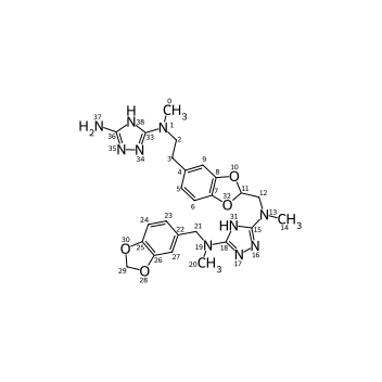 CN(CCc1ccc2c(c1)OC(CN(C)c1nnc(N(C)Cc3ccc4c(c3)OCO4)[nH]1)O2)c1nnc(N)[nH]1